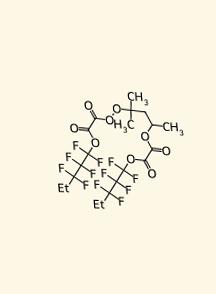 CCC(F)(F)C(F)(F)C(F)(F)OC(=O)C(=O)OOC(C)(C)CC(C)OC(=O)C(=O)OC(F)(F)C(F)(F)C(F)(F)CC